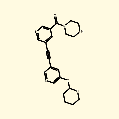 O=C(c1cncc(C#Cc2cncc(OC3CCCCO3)c2)c1)N1CCNCC1